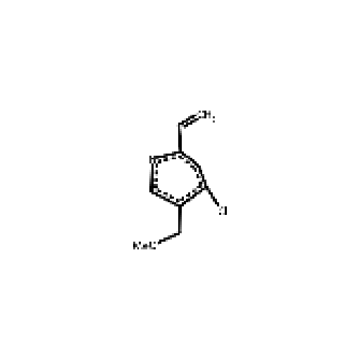 C=Cc1cc(Cl)c(COC)cn1